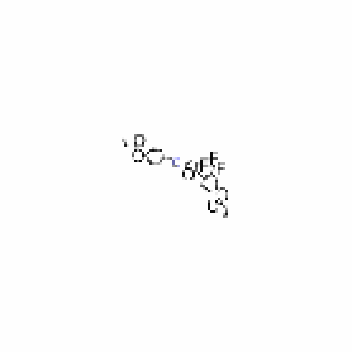 C=CC(=O)Oc1ccc(/C=C/c2ccc(-c3ccc(OC(=O)C=C)cc3C(F)(F)F)o2)cc1